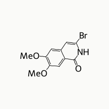 COc1cc2cc(Br)[nH]c(=O)c2cc1OC